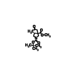 COC(=O)C1(CC(C)=O)CCN(C(=O)OC(C)(C)C)C1